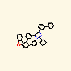 c1ccc(-c2cccc(-c3cc(-c4ccc5c(c4)c4c(-c6ccccc6)ccc6oc7cccc5c7c64)nc(-c4ccccc4)n3)c2)cc1